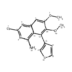 COc1cc2nc(Cl)nc(N)c2c(-c2ccsc2)c1OC